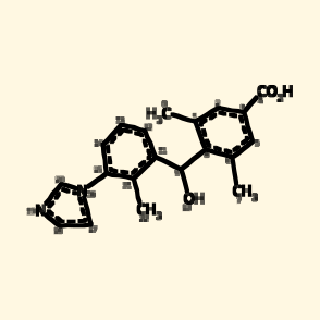 Cc1cc(C(=O)O)cc(C)c1C(O)c1cccc(-n2ccnc2)c1C